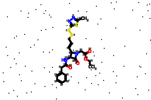 Cc1nnc(SSCC=CC2C(NC(=O)Cc3ccccc3)C(=O)N2CC(=O)OCC(Cl)(Cl)Cl)s1